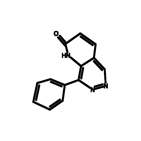 O=c1ccc2cnnc(-c3ccccc3)c2[nH]1